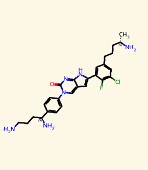 C[C@H](N)CCCc1cc(Cl)c(F)c(-c2cc3cn(-c4ccc([C@@H](N)CCCN)cc4)c(=O)nc3[nH]2)c1